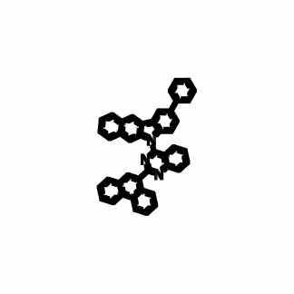 c1ccc(-c2ccc3c(c2)c2cc4ccccc4cc2n3-c2nc(-c3cc4ccccc4c4ccccc34)nc3ccccc23)cc1